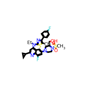 CCN(c1nc(-c2ccc(F)cc2)c(C#N)s1)c1cc(C2CC2)nc2c(F)cc(N3CCN(S(C)(=O)=O)[C@H](CO)C3)cc12